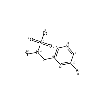 CCS(=O)(=O)N(Cc1cncc(Br)c1)C(C)C